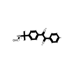 CC(C)(NC=O)c1ccc(C(=O)C(=O)c2ccccc2)cc1